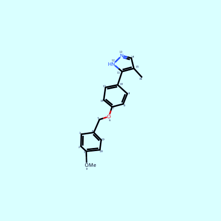 COc1ccc(COc2ccc(-c3[nH]ncc3C)cc2)cc1